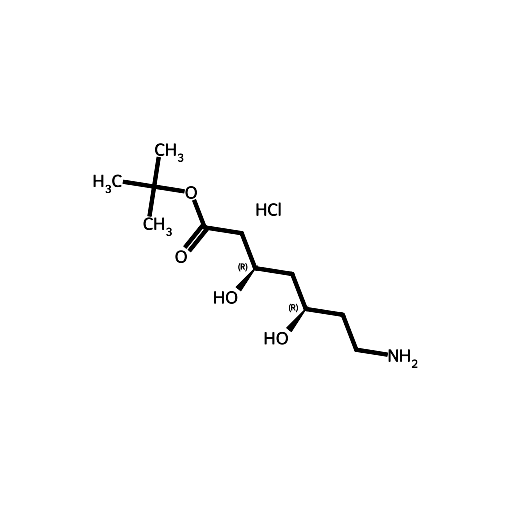 CC(C)(C)OC(=O)C[C@H](O)C[C@H](O)CCN.Cl